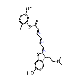 C=C(/C=C/C=C/C=C1\Sc2cc(O)ccc2N1CCN(C)C)Sc1cc(OC)ccc1C